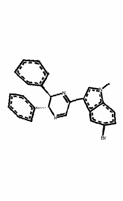 Cn1cc(C2=N[C@H](c3ccccc3)[C@@H](c3ccccc3)N=C2)c2cc(Br)ccc21